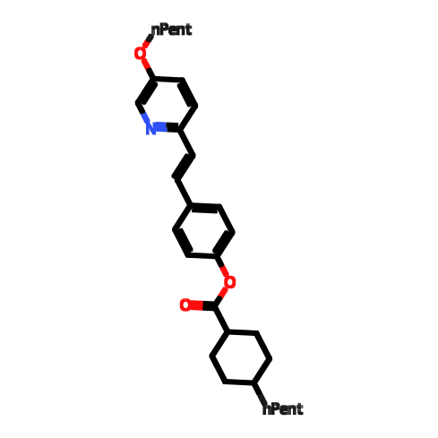 CCCCCOc1ccc(C=Cc2ccc(OC(=O)C3CCC(CCCCC)CC3)cc2)nc1